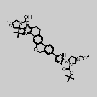 COC[C@H]1C[C@@H](c2ncc(-c3ccc4c(c3)COc3cc5c(cc3-4)CCc3nc([C@@]4(C(C)(C)C)C[C@H](C)CN4C(=O)O)[nH]c3-5)[nH]2)N(C(=O)OC(C)(C)C)C1